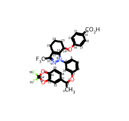 CC(Oc1cccc(-n2nc(C(F)(F)F)c3c2C(Oc2ccc(C(=O)O)cc2)CCC3)c1)c1ccc2c(c1)OC(F)(F)O2